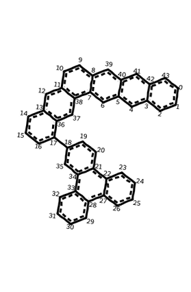 c1ccc2cc3cc4c(ccc5cc6cccc(-c7ccc8c9ccccc9c9ccccc9c8c7)c6cc54)cc3cc2c1